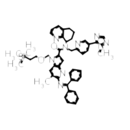 Cc1cc2c(cc(C(=O)N(Cc3ccc(-c4ncnn4C)cn3)[C@@H]3CCCc4cccnc43)n2COCC[Si](C)(C)C)nc1N=C(c1ccccc1)c1ccccc1